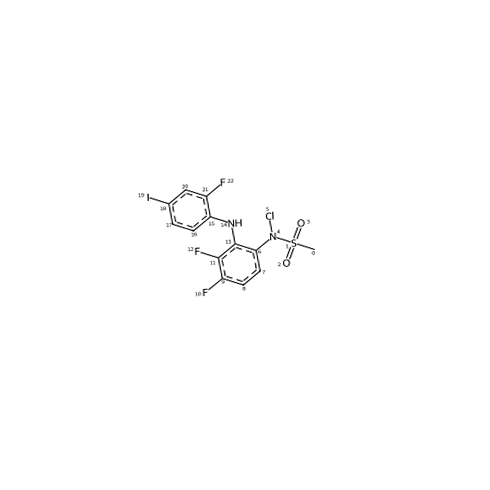 CS(=O)(=O)N(Cl)c1ccc(F)c(F)c1Nc1ccc(I)cc1F